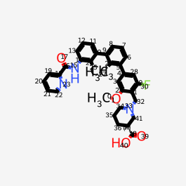 COc1cc(-c2cccc(-c3cccc(NC(=O)c4ccccn4)c3C)c2C)cc(F)c1CN1CCC[C@@H](C(=O)O)C1